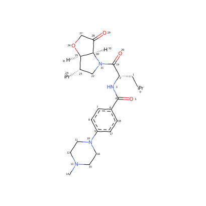 CC(C)C[C@H](NC(=O)c1ccc(N2CCN(C)CC2)cc1)C(=O)N1C[C@H](C(C)C)[C@H]2OCC(=O)[C@H]21